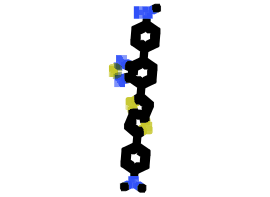 CNc1ccc(-c2ccc(-c3cc4sc(-c5ccc(N(C)C)cc5)cc4s3)c3nsnc23)cc1